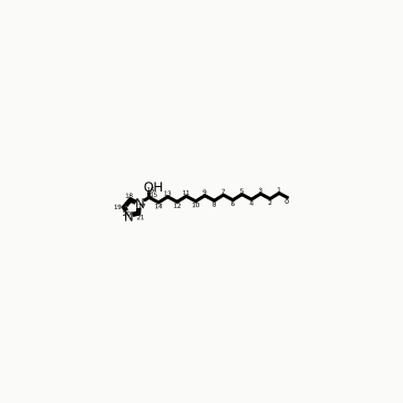 CCCCCCCCCCCCCCCC(O)n1ccnc1